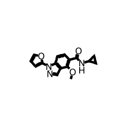 COc1c(C(=O)NC2CC2)ccc2c1cnn2-c1ccco1